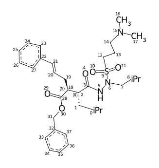 CC(C)C[C@@H](C(=O)NN(CC(C)C)S(=O)(=O)CCCN(C)C)[C@H](CC=Cc1ccccc1)C(=O)OCc1ccccc1